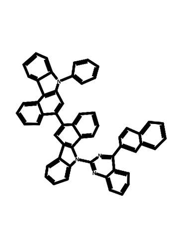 c1ccc(-n2c3ccccc3c3c4ccccc4c(-c4cc5c6ccccc6n(-c6nc(-c7ccc8ccccc8c7)c7ccccc7n6)c5c5ccccc45)cc32)cc1